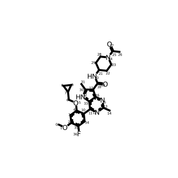 COc1cc(OCC2CC2)c(-c2nc(C)nc3c(C(=O)NC4CCN(C(C)=O)CC4)c(C)[nH]c23)cc1F